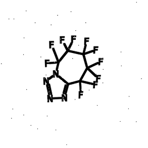 FC1(F)c2nnnn2C(F)(F)C(F)(F)C(F)(F)C1(F)F